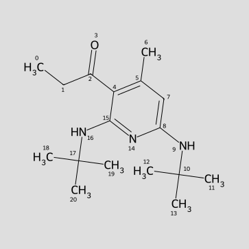 CCC(=O)c1c(C)cc(NC(C)(C)C)nc1NC(C)(C)C